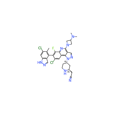 Cc1c(Cl)cc2[nH]ncc2c1-c1c(Cl)cc2c(nc(N3CC(N(C)C)C3)c3cnn([C@H]4CCN[C@H](CC#N)C4)c32)c1F